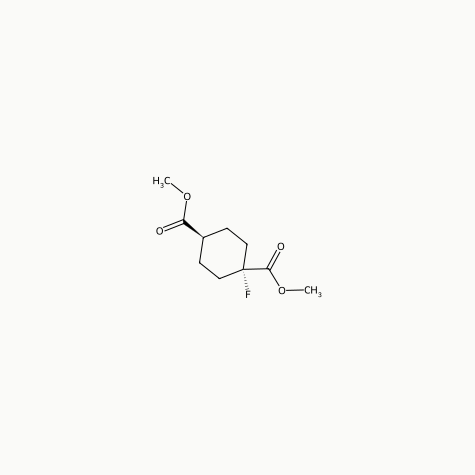 COC(=O)[C@H]1CC[C@@](F)(C(=O)OC)CC1